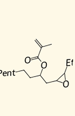 C=C(C)C(=O)OC(CCC(C)CCC)CC1OC1CC